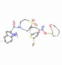 O=C(CC1(c2ccc(Br)s2)CCN(C(=O)c2cc3ccccc3[nH]2)CCS1(=O)=O)NOC1CCCCO1